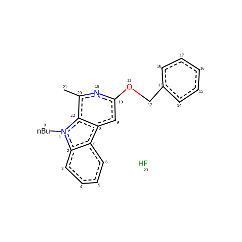 CCCCn1c2ccccc2c2cc(OCc3ccccc3)nc(C)c21.F